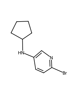 Brc1ccc(NC2CCCC2)cn1